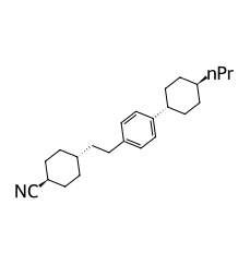 CCC[C@H]1CC[C@H](c2ccc(CC[C@H]3CC[C@H](C#N)CC3)cc2)CC1